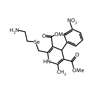 COC(=O)C1=C(C)NC(C[Se]CCN)=C(C(=O)OC)C1c1cccc([N+](=O)[O-])c1